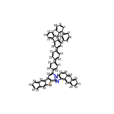 c1ccc(C2(c3ccccc3)c3ccccc3-c3cc(-c4ccc(-c5ccc(-c6cc7c8cc9ccccc9cc8sc7c7nc8c9cc%10ccccc%10cc9ccc8n67)cc5)cc4)ccc32)cc1